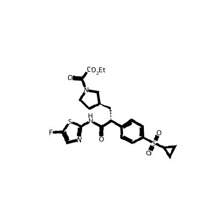 CCOC(=O)C(=O)N1CC[C@H](C[C@@H](C(=O)Nc2ncc(F)s2)c2ccc(S(=O)(=O)C3CC3)cc2)C1